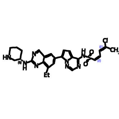 CCc1cc(-c2ccc3c(NS(=O)(=O)/C=C\C=C(/C)Cl)ncnn23)cc2cnc(N[C@H]3CCCNC3)nc12